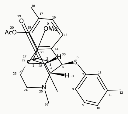 COC1=C[C@@H]2[C@@H]3[C@H](Sc4cccc(C)c4)c4ccc(C)c(OC(C)=O)c4[C@]2(CCN3C)CC1=O